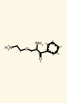 NCCSCC(N)C(=O)c1ccccc1